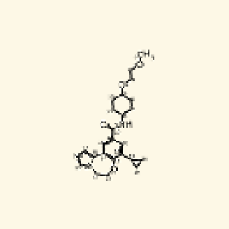 COCCOC1CCC(NC(=O)c2cc3c(c(C4CC4)c2)OCCn2cncc2-3)CC1